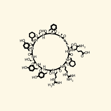 C[C@H]1C(=O)N(C)[C@@H](Cc2ccccc2)C(=O)N[C@@H](CO)C(=O)N[C@@H](CC2CCCCC2)C(=O)N[C@@H](Cc2ccc(O)cc2)C(=O)N[C@@H](CO)C(=O)N[C@@H](Cc2ccc(O)cc2)C(=O)N[C@@H](Cc2ccc(O)cc2)C(=O)N[C@@H](CCCNC(=N)N)C(=O)N[C@@H](CCCNC(=N)N)C(=O)N[C@@H](CC2CCCCC2)C(=O)N[C@H](C(=O)N[C@H](CCC(=O)O)C(N)=O)CSCC(=O)N1C